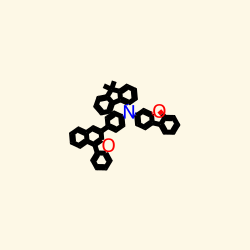 CC1(C)c2ccccc2-c2c(N(c3ccc(-c4cc5ccccc5c5c4oc4ccccc45)cc3)c3ccc4c(c3)oc3ccccc34)cccc21